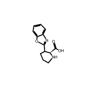 O=C(O)[C@H]1NCCCC1c1nc2ccccc2o1